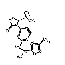 Cc1noc([C@H](C)Nc2nccc(N3C(=O)OC[C@@H]3C(C)C)n2)n1